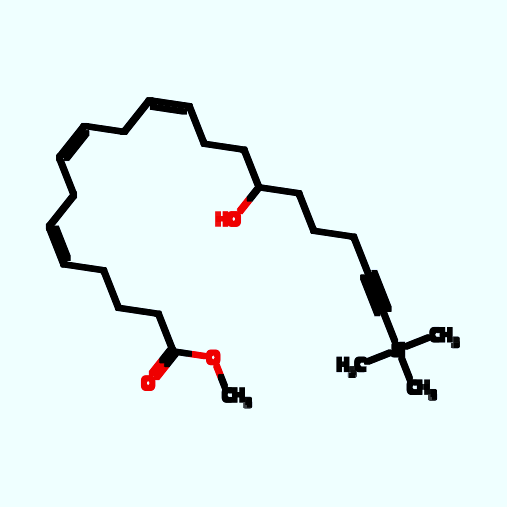 COC(=O)CCC/C=C\C/C=C\C/C=C\CCC(O)CCCC#C[Si](C)(C)C